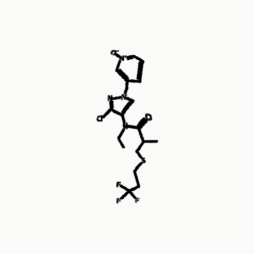 CCN(C(=O)C(C)CSCCC(F)(F)F)c1cn(-c2ccc[n+]([O-])c2)nc1Cl